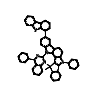 CC1(C)c2ccccc2-c2c1c1c(ccc3c4cc(-c5cccc6c5sc5ccccc56)ccc4n(-c4nc(-c5ccccc5)c5ccccc5n4)c31)n2-c1ccccc1